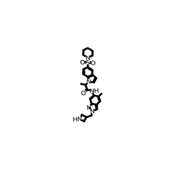 Cc1cc2cn(CC3CNC3)nc2cc1NC(=O)C(C)n1ccc2cc(S(=O)(=O)N3CCCCC3)ccc21